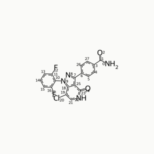 NC(=O)c1ccc(-c2nn(-c3c(F)cccc3F)c3c(Cl)c[nH]c(=O)c23)cc1